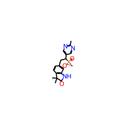 Cc1ncc(C(Cc2ccc3c(c2)NC(=O)C3(C)C)S(C)(=O)=O)cn1